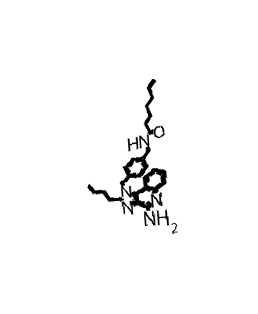 CCCCCCC(=O)NCc1ccc(Cn2c(CCCC)nc3c(N)nc4ccccc4c32)cc1